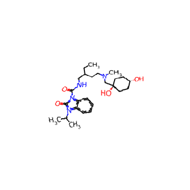 CCC(CCN(C)C[C@]1(O)CC[C@H](O)CC1)CNC(=O)n1c(=O)n(C(C)C)c2ccccc21